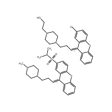 CN1CCN(CC/C=C2/c3ccccc3Sc3ccc(S(=O)(=O)N(C)C)cc32)CC1.OCCN1CCN(CC/C=C2/c3ccccc3Sc3ccc(Cl)cc32)CC1